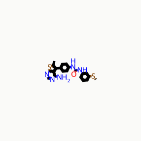 CSc1cccc(NC(=O)Nc2ccc(-c3c(C)sc4ncnc(N)c34)cc2)c1